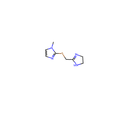 Cn1ccnc1SCC1=N[CH]CN1